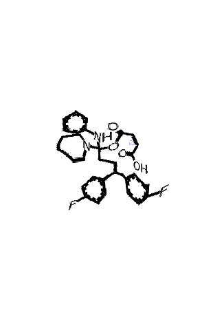 O=C(O)/C=C\C(=O)OC(CCC(c1ccc(F)cc1)c1ccc(F)cc1)(Nc1ccccc1)N1CCCCC1